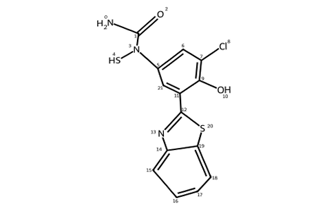 NC(=O)N(S)c1cc(Cl)c(O)c(-c2nc3ccccc3s2)c1